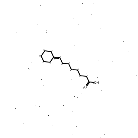 O=C(O)CCCCCCC=C1CCCCC1